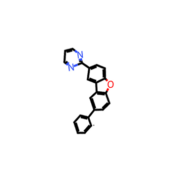 [c]1ccccc1-c1ccc2oc3ccc(-c4ncccn4)cc3c2c1